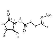 CC(C)SC(C)CCC(=O)ON1C(=O)CC(C)C1=O